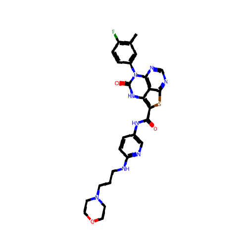 Cc1cc(N2C(=O)Nc3c(C(=O)Nc4ccc(NCCCN5CCOCC5)nc4)sc4ncnc2c34)ccc1F